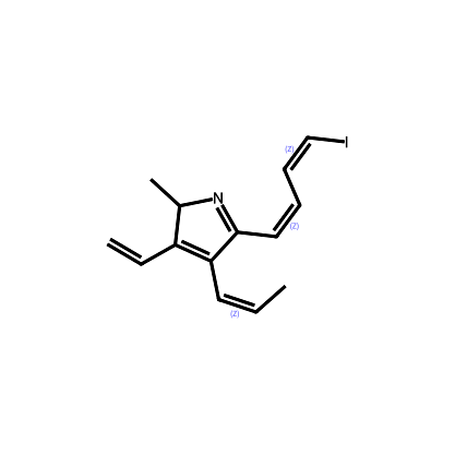 C=CC1=C(/C=C\C)C(/C=C\C=C/I)=NC1C